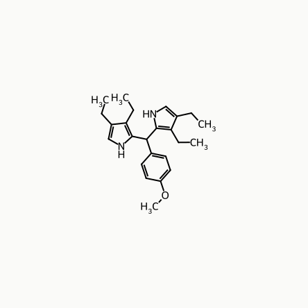 CCc1c[nH]c(C(c2ccc(OC)cc2)c2[nH]cc(CC)c2CC)c1CC